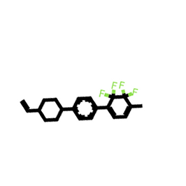 C=CC1CCC(c2ccc(C3=CC=C(C)C(F)(F)C3(F)F)cc2)CC1